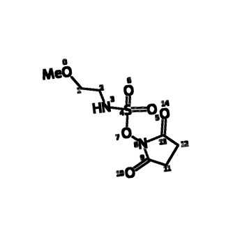 COCCNS(=O)(=O)ON1C(=O)CCC1=O